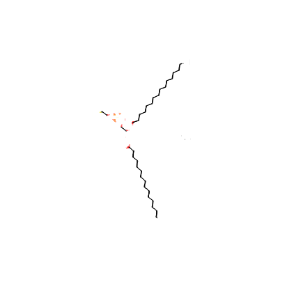 CCCCCCCCCCCCCCCC(=O)OC[C@H](COP(=O)([O-])OCCS)OC(=O)CCCCCCCCCCCCCCC.[Na+]